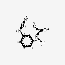 CC(=O)N=S(=O)=O.[N-]=[N+]=Nc1ccccc1